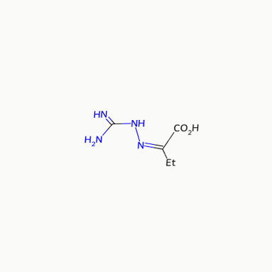 CCC(=NNC(=N)N)C(=O)O